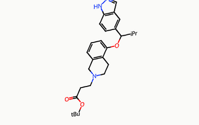 CC(C)C(Oc1cccc2c1CCN(CCC(=O)OC(C)(C)C)C2)c1ccc2[nH]ncc2c1